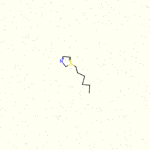 CCCCCCS1=CC=NC1